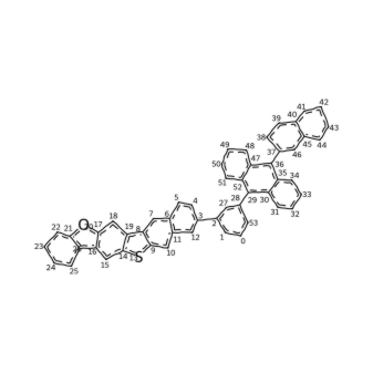 c1cc(-c2ccc3cc4c(cc3c2)sc2cc3c(cc24)oc2ccccc23)cc(-c2c3ccccc3c(-c3ccc4ccccc4c3)c3ccccc23)c1